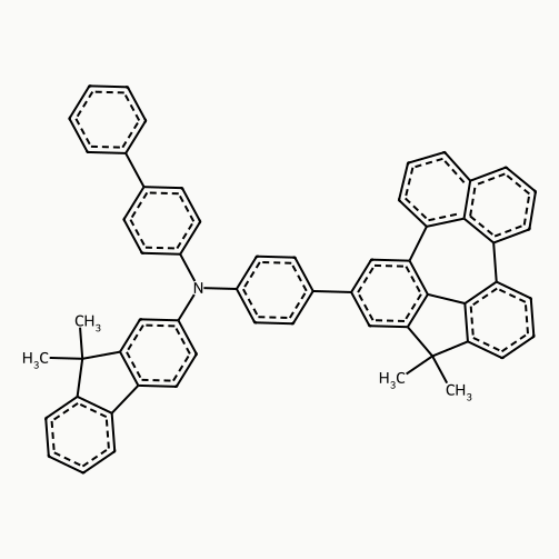 CC1(C)c2ccccc2-c2ccc(N(c3ccc(-c4ccccc4)cc3)c3ccc(-c4cc5c6c(c4)C(C)(C)c4cccc(c4-6)-c4cccc6cccc-5c46)cc3)cc21